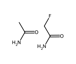 CC(N)=O.NC(=O)CF